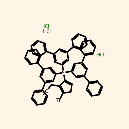 CCC1=[C]([Ti])CC=C1[Si](c1cc(-c2ccccc2)cc(-c2ccccc2)c1)(c1cc(-c2ccccc2)cc(-c2ccccc2)c1)c1cc(-c2ccccc2)cc(-c2ccccc2)c1.Cl.Cl.Cl